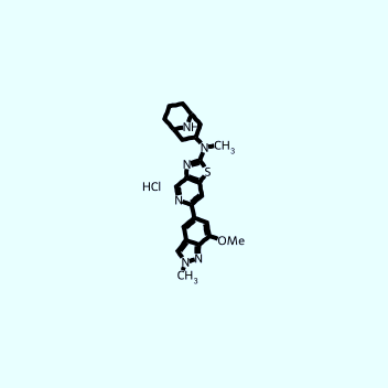 COc1cc(-c2cc3sc(N(C)C4CC5CCCC(C4)N5)nc3cn2)cc2cn(C)nc12.Cl